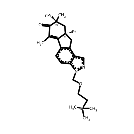 CCC[C@@]1(C)C[C@@]2(CC)Cc3c(ccc4c3cnn4COCC[Si](C)(C)C)C2=C(C)C1=O